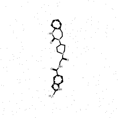 Cc1cc2cc(C(=O)NCC(=O)N3CCC(N4CCc5ccccc5NC4=O)CC3)ccc2[nH]1